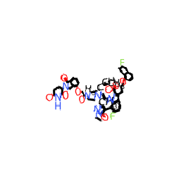 Cc1nn2c(c1-c1c(F)ccc3c(CCCOc4cccc5cc(F)ccc45)c(C(=O)OC(C)(C)C)n(CCN4CCN(C(=O)COc5cccc6c5CN(C5CCC(=O)NC5=O)C6=O)CC4)c13)OCC2